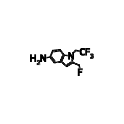 Nc1ccc2c(c1)cc(CF)n2CC(F)(F)F